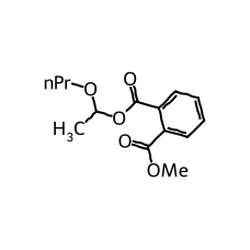 CCCOC(C)OC(=O)c1ccccc1C(=O)OC